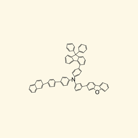 c1ccc(C2(c3ccccc3)c3ccccc3-c3c(-c4ccc(N(c5ccc(-c6ccc(-c7ccc8ccccc8c7)cc6)cc5)c5cccc(-c6ccc7c(c6)oc6ccccc67)c5)cc4)cccc32)cc1